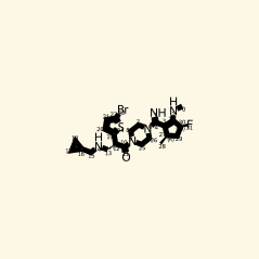 CNC1=C(C(=N)N2CCN(C(=O)[C@H](CNCC3CC3)c3ccc(Br)s3)CC2)[C@H](C)C[C@@H]1F